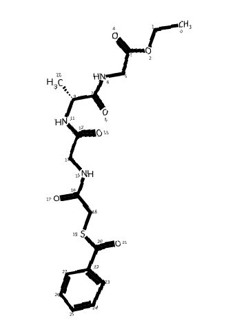 CCOC(=O)CNC(=O)[C@@H](C)NC(=O)CNC(=O)CSC(=O)c1ccccc1